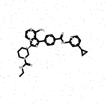 CCNC(=O)N1CCC[C@@H](c2nc(-c3ccc(C(=O)Nc4cc(C5CC5)ccn4)cc3)c3c(N)nccn23)C1